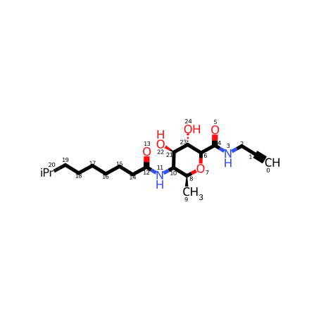 C#CCNC(=O)C1O[C@@H](C)C(NC(=O)CCCCCCC(C)C)[C@@H](O)[C@@H]1O